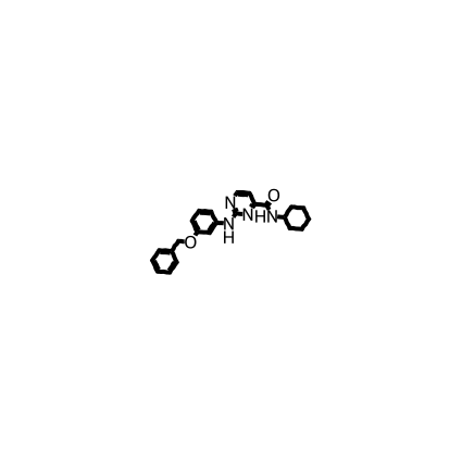 O=C(NC1CCCCC1)c1ccnc(Nc2cccc(OCc3ccccc3)c2)n1